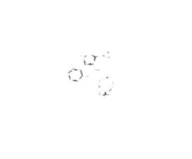 CC1CC2CC(C)(OCc3c(-c4c(Cl)cccc4Cl)noc3C3CC3)CC1C2=O